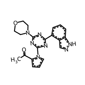 CC(=O)c1cccn1-c1nc(-c2cccc3[nH]ncc23)nc(N2CCOCC2)n1